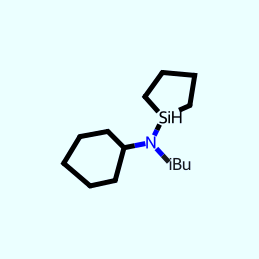 CCC(C)N(C1CCCCC1)[SiH]1CCCC1